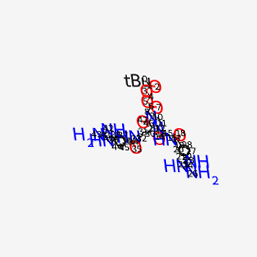 CC(C)(C)C(=O)OCOC(=O)CN1CCN(C(=O)CNC(=O)c2ccc(NC(=N)N)cc2)[C@@H](CCCNC(=O)c2ccc(NC(=N)N)cc2)C1=O